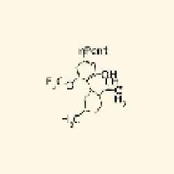 C=C(C)C1CCC(C)=CC1c1c(O)cc(CCCCC)cc1OC(F)(F)F